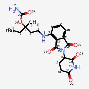 CC(C)(C)CC(C)(CCNc1cccc2c1C(=O)N(C1CCC(=O)NC1=O)C2=O)OC(N)=O